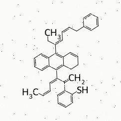 C=C(/C(=C\C=C/C)c1c2c(c(/C(=C/C=C\Cc3ccccc3)CC)c3ccccc13)C=CCC2)c1ccccc1S